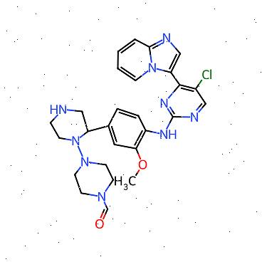 COc1cc(C2CNCCN2N2CCN(C=O)CC2)ccc1Nc1ncc(Cl)c(-c2cnc3ccccn23)n1